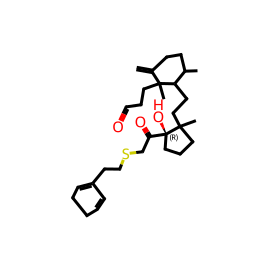 C=C1CCC(C)C(CCC2(C)CCC[C@]2(O)C(=O)CSCCC2=CCCC=C2)C1(C)CCC=O